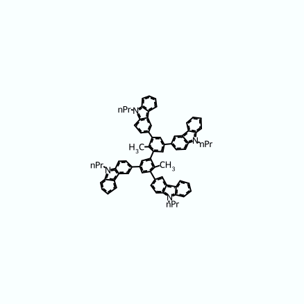 CCCn1c2ccccc2c2cc(-c3cc(-c4ccc5c(c4)c4ccccc4n5CCC)c(C)c(-c4cc(-c5ccc6c(c5)c5ccccc5n6CCC)cc(-c5ccc6c(c5)c5ccccc5n6CCC)c4C)c3)ccc21